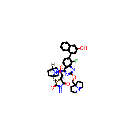 O=C1NC(=O)/C(=C/C(=O)N2[C@@H]3CC[C@H]2CN(c2nc(OCC45CCCN4CCC5)nc4c(F)c(-c5cc(O)cc6ccccc56)ccc24)C3)S1